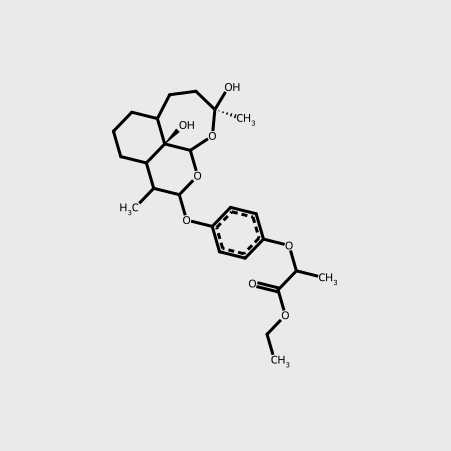 CCOC(=O)C(C)Oc1ccc(OC2OC3O[C@](C)(O)CCC4CCCC(C2C)[C@]43O)cc1